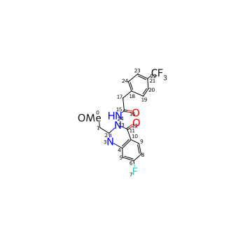 COCc1nc2cc(F)ccc2c(=O)n1NC(=O)Cc1ccc(C(F)(F)F)cc1